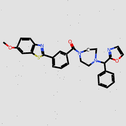 COc1ccc2nc(-c3cccc(C(=O)N4CCN(C(c5ccccc5)c5ncco5)CC4)c3)sc2c1